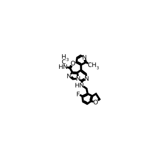 CNC(=O)c1ncn2c(NCc3c(F)ccc4c3CCO4)ncc(-c3cccnc3C)c12